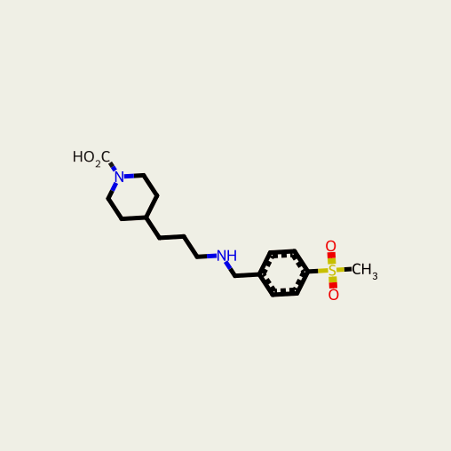 CS(=O)(=O)c1ccc(CNCCCC2CCN(C(=O)O)CC2)cc1